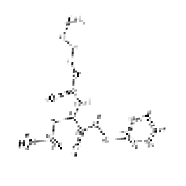 CCCCOC(=O)NC(CC(N)=S)C(=O)OCc1ccccc1